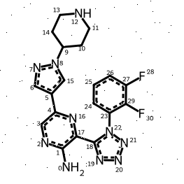 Nc1ncc(-c2cnn(C3CCNCC3)c2)nc1-c1nnnn1-c1cccc(F)c1F